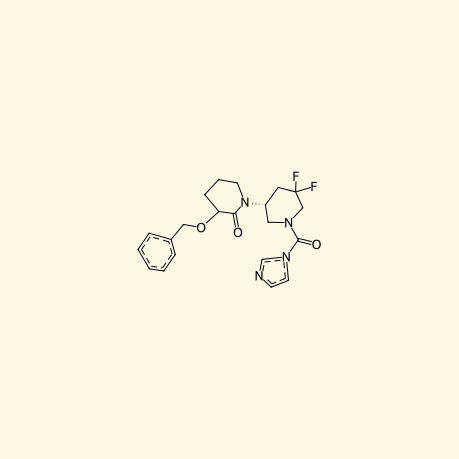 O=C1C(OCc2ccccc2)CCCN1[C@H]1CN(C(=O)n2ccnc2)CC(F)(F)C1